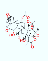 CO[C@H]1[C@@H]2[C@H](C(C)[C@H]3O[C@]34OC(=O)[C@@](C)(O)[C@]24C)[C@]2(C)[C@@H]1C1C([C@H](OC(C)=O)[C@@H]2OC(C)=O)[C@@]2(C)C[C@H]3O[C@H]3C[C@@H]2C(=O)[C@@H]1O